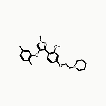 Cc1ccc(C)c(Oc2cn(C)nc2-c2ccc(OCCN3CCCCC3)cc2O)c1